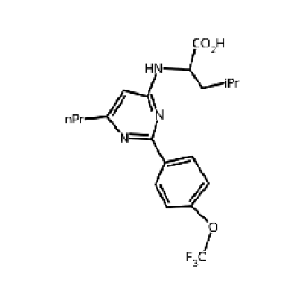 CCCc1cc(NC(CC(C)C)C(=O)O)nc(-c2ccc(OC(F)(F)F)cc2)n1